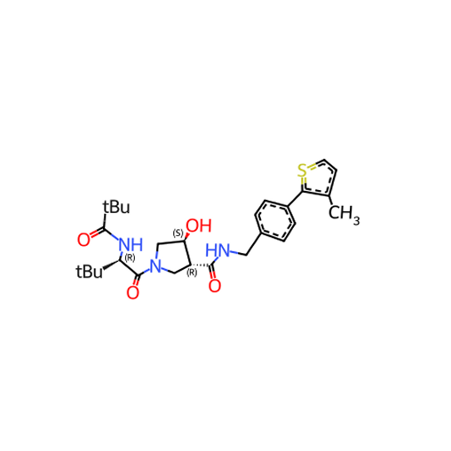 Cc1ccsc1-c1ccc(CNC(=O)[C@@H]2CN(C(=O)[C@H](NC(=O)C(C)(C)C)C(C)(C)C)C[C@H]2O)cc1